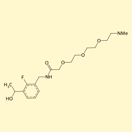 CNCCOCCOCCOCC(=O)NCc1cccc(C(C)O)c1F